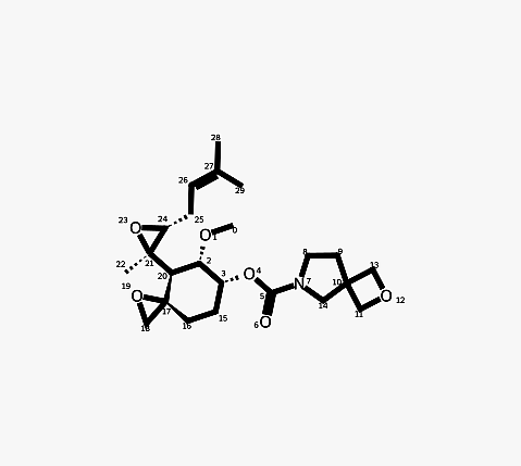 CO[C@@H]1[C@H](OC(=O)N2CCC3(COC3)C2)CC[C@]2(CO2)[C@H]1[C@@]1(C)O[C@@H]1CC=C(C)C